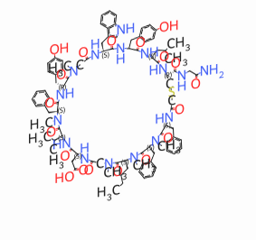 CCCC[C@H]1C(=O)N(C)CC(=O)N[C@@H](CC(=O)O)C(=O)N[C@@H](C(C)C)C(=O)N(C)[C@@H](Cc2ccccc2)C(=O)N[C@H](Cc2ccc(O)cc2)C(=O)N(C)CC(=O)N[C@@H](Cc2c[nH]c3ccccc23)C(=O)NC(Cc2ccc(O)cc2)C(=O)N[C@@H](CC(C)C)C(=O)N[C@H](C(=O)NCC(N)=O)CSCC(=O)N[C@@H](Cc2ccccc2)C(=O)N(C)[C@@H](Cc2ccccc2)C(=O)N1C